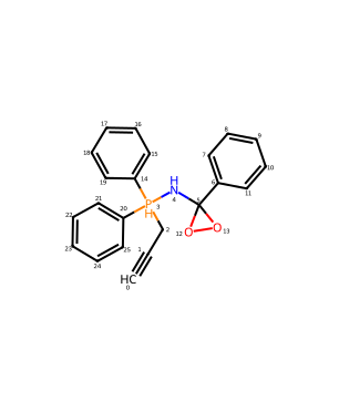 C#CC[PH](NC1(c2ccccc2)OO1)(c1ccccc1)c1ccccc1